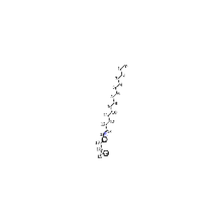 CCCCCCCCCCCCCC/C=C/OCC1CO1